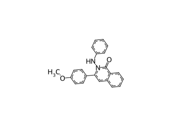 COc1ccc(-c2cc3ccccc3c(=O)n2Nc2ccccc2)cc1